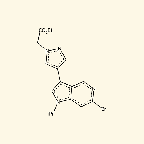 CCOC(=O)Cn1cc(-c2cn(C(C)C)c3cc(Br)ncc23)cn1